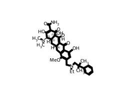 CCN(Cc1cc(O)c2c(c1OC)C[C@H]1C[C@H]3[C@H](N(C)C)C(O)=C(C(N)=O)C(=O)[C@@]3(O)C(O)=C1C2=O)CC(C)(C)c1ccccc1